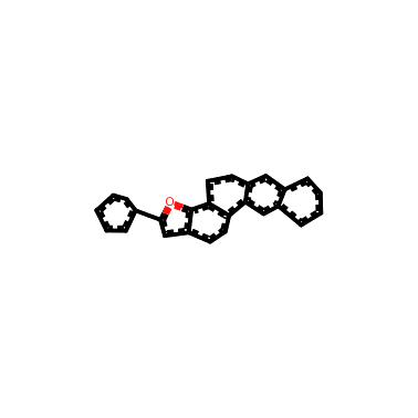 c1ccc(-c2cc3ccc4c5cc6ccccc6cc5ccc4c3o2)cc1